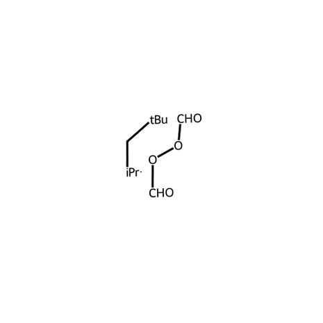 C[C](C)CC(C)(C)C.O=COOC=O